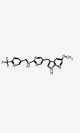 COc1cnc2[nH]cc(Cc3cnc(NCc4ccc(C(F)(F)F)nc4)nc3)c2c1